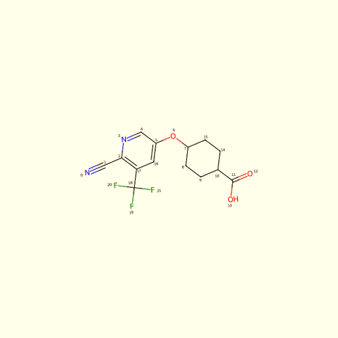 N#Cc1ncc(OC2CCC(C(=O)O)CC2)cc1C(F)(F)F